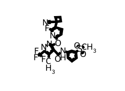 Cc1c(C(F)(F)F)nnc(Oc2ccc(C3(C#N)CCC3)c(F)n2)c1C(=O)Nc1cccc(S(C)(=O)=O)c1